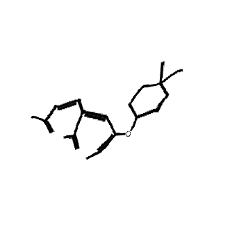 C=C(C)\C=C/C(=C/C(=C\C)OC1CCC(C)(C)CC1)C(=C)C